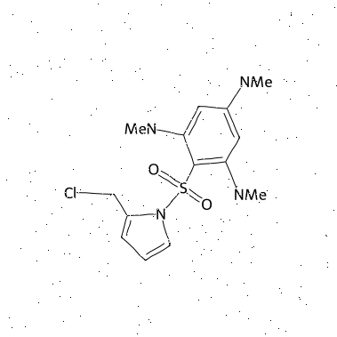 CNc1cc(NC)c(S(=O)(=O)n2cccc2CCl)c(NC)c1